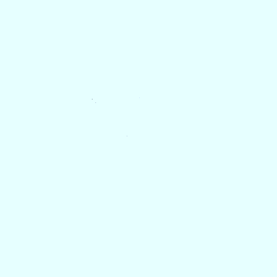 CCCC(C(=O)OCC)C(C#N)(CC(C)C)C(=O)OCC